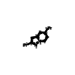 CC(C)c1ccn2nc(C(C)C)cc2c1